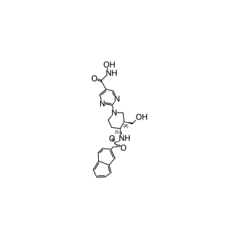 O=C(NO)c1cnc(N2CC[C@H](NS(=O)(=O)c3ccc4ccccc4c3)[C@H](CO)C2)nc1